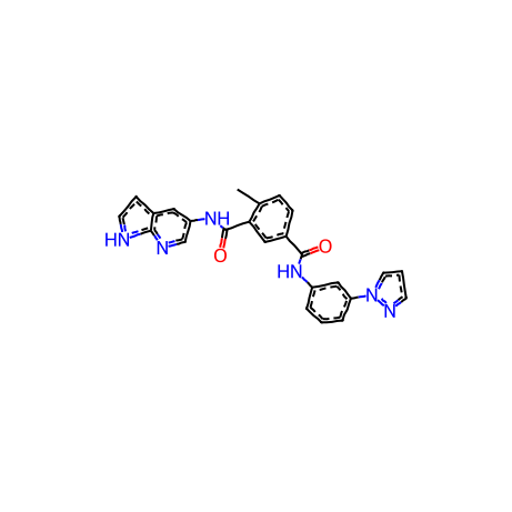 Cc1ccc(C(=O)Nc2cccc(-n3cccn3)c2)cc1C(=O)Nc1cnc2[nH]ccc2c1